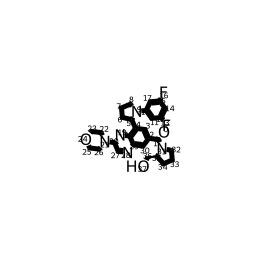 O=C(c1cc(C2CCCN2c2cc(F)cc(F)c2)c2nc(N3CCOCC3)cnc2c1)N1CCC[C@H]1CO